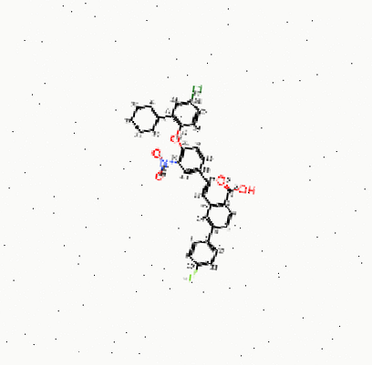 O=C(O)c1ccc(-c2ccc(F)cc2)cc1C=Cc1ccc(Oc2ccc(Cl)cc2C2CCCCC2)c([N+](=O)[O-])c1